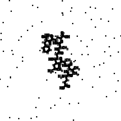 CC(C)C[C@H](NC(=O)[C@H](C)NC(=O)[C@@H](NC(=O)[C@@H](N)CCC(=O)O)C(C)C)[C@@H](O)CCC(=O)N[C@@H](C)C(=O)N[C@@H](CCC(=O)O)C(=O)N[C@@H](Cc1ccccc1)C(=O)O